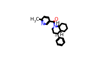 Cc1ccc(C(=O)N2CC[C@H](c3ccccc3)[C@H]3CCCC[C@H]32)cn1